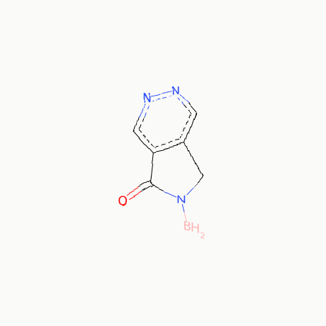 BN1Cc2cnncc2C1=O